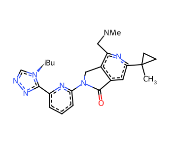 CC[C@H](C)n1cnnc1-c1cccc(N2Cc3c(cc(C4(C)CC4)nc3CNC)C2=O)n1